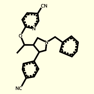 CC(Oc1ccc(C#N)cn1)C1CN(Cc2ccccc2)CC1c1ccc(C#N)cc1